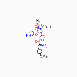 COc1ccc(C[C@H](N)C(=O)NCC(=O)N(C[C@H](NS(C)(=O)=O)C(=O)O)C(=O)CCC2CCNCC2)cc1